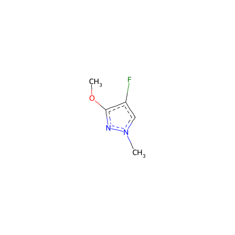 COc1nn(C)cc1F